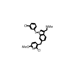 CNCc1cn(Sc2cccc(Cl)c2)c2cc(Cc3ccc(OC)nc3Cl)ccc12